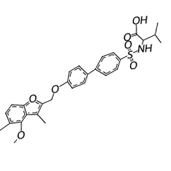 COc1c(C#N)ccc2oc(COc3ccc(-c4ccc(S(=O)(=O)NC(C(=O)O)C(C)C)cc4)cc3)c(C)c12